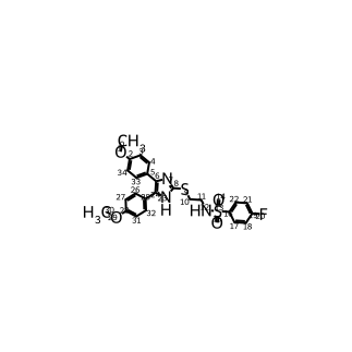 COc1ccc(-c2nc(SCCNS(=O)(=O)c3ccc(F)cc3)[nH]c2-c2ccc(OC)cc2)cc1